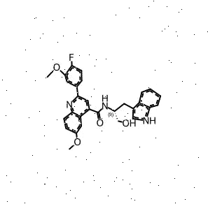 COc1ccc2nc(-c3ccc(F)c(OC)c3)cc(C(=O)N[C@@H](CO)Cc3c[nH]c4ccccc34)c2c1